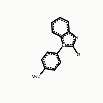 COc1ccc(-n2c(Cl)nc3ccccc32)cc1